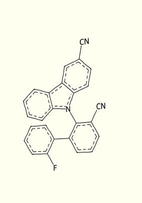 N#Cc1ccc2c(c1)c1ccccc1n2-c1c(C#N)cccc1-c1ccccc1F